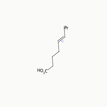 CC(C)/C=C/CCCC(=O)O